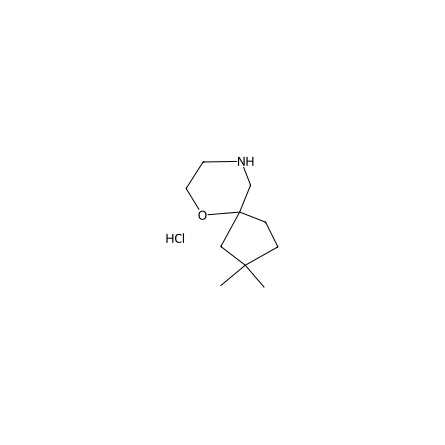 CC1(C)CCC2(CNCCO2)C1.Cl